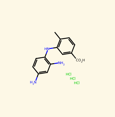 Cc1ccc(C(=O)O)cc1Nc1ccc(N)cc1N.Cl.Cl.Cl